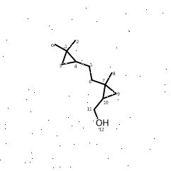 CC1(C)CC1CCC1(C)CC1CO